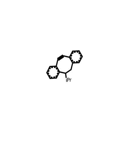 CC(C)C1Cc2ccccc2C#Cc2ccccc21